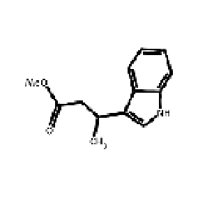 COC(=O)CC(C)c1c[nH]c2ccccc12